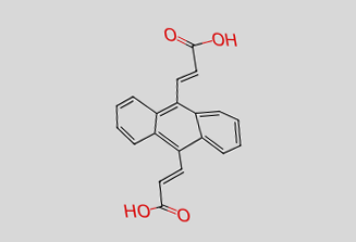 O=C(O)/C=C/c1c2ccccc2c(/C=C/C(=O)O)c2ccccc12